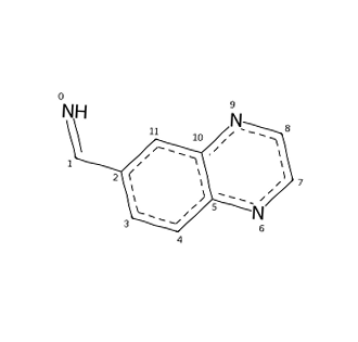 N=Cc1ccc2nccnc2c1